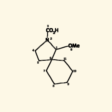 COC1N(C(=O)O)CCC12CCCCC2